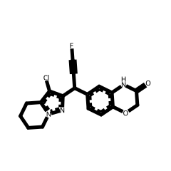 O=C1COc2ccc(C(C#CF)c3nn4c(c3Cl)CCCC4)cc2N1